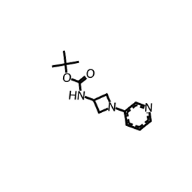 CC(C)(C)OC(=O)NC1CN(c2cccnc2)C1